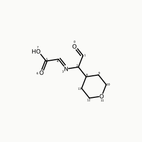 O=[C]C(N=CC(=O)O)C1CCOCC1